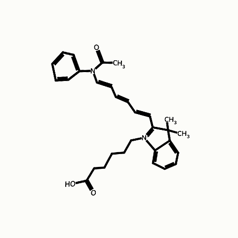 CC(=O)N(/C=C/C=C/C=C/C1=[N+](CCCCCC(=O)O)c2ccccc2C1(C)C)c1ccccc1